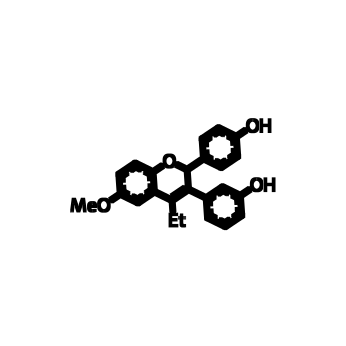 CCC1=C(c2cccc(O)c2)C(c2ccc(O)cc2)Oc2ccc(OC)cc21